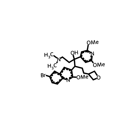 COc1cc(C(O)(CCN(C)C)C(CCC2COC2)c2cc3cc(Br)ccc3nc2OC)cc(OC)n1